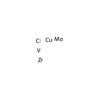 [C].[Cu].[Mo].[V].[Zr]